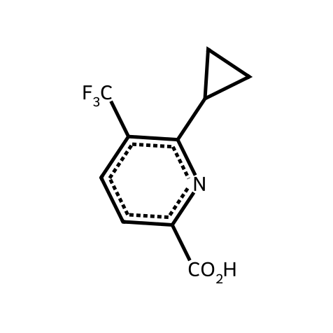 O=C(O)c1ccc(C(F)(F)F)c(C2CC2)n1